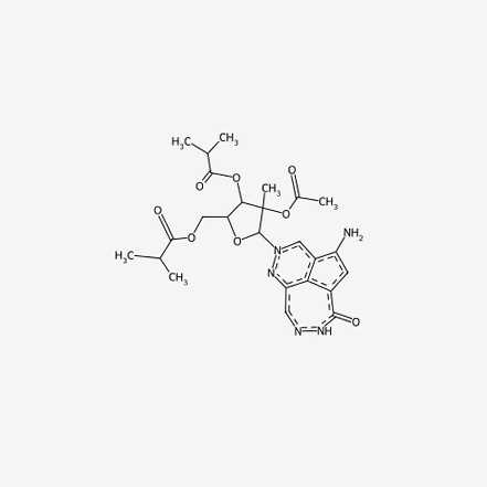 CC(=O)OC1(C)C(OC(=O)C(C)C)C(COC(=O)C(C)C)OC1n1cc2c(N)cc3c(=O)[nH]ncc(n1)c23